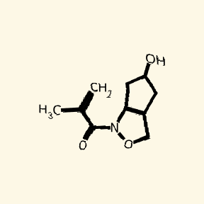 C=C(C)C(=O)N1OCC2CC(O)CC21